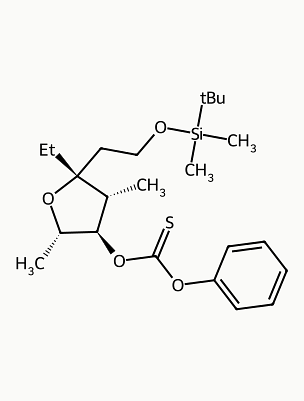 CC[C@]1(CCO[Si](C)(C)C(C)(C)C)O[C@@H](C)[C@H](OC(=S)Oc2ccccc2)[C@H]1C